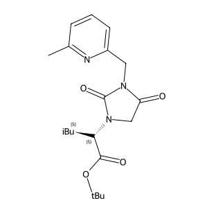 CC[C@H](C)[C@@H](C(=O)OC(C)(C)C)N1CC(=O)N(Cc2cccc(C)n2)C1=O